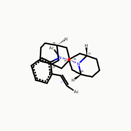 CC(=O)/C=C/c1ccccc1N(C(C)=O)[C@H]1C[C@H]2CCC[C@@H](C1)N2[C@H]1C[C@@H]2CCC[C@@H](C2)C1